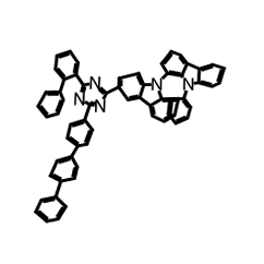 c1ccc(-c2ccc(-c3ccc(-c4nc(-c5ccc6c(c5)c5ccccc5n6-c5cccc6c7ccccc7n(-c7ccccc7)c56)nc(-c5ccccc5-c5ccccc5)n4)cc3)cc2)cc1